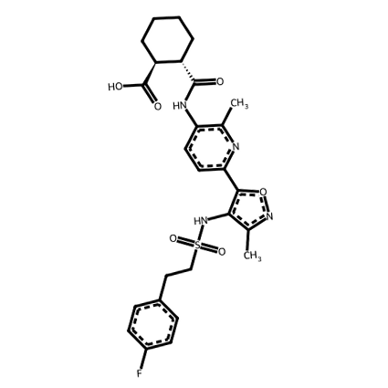 Cc1nc(-c2onc(C)c2NS(=O)(=O)CCc2ccc(F)cc2)ccc1NC(=O)[C@H]1CCCC[C@@H]1C(=O)O